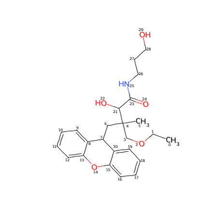 CCOCC(C)(CC1c2ccccc2Oc2ccccc21)C(O)C(=O)NCCCO